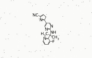 CC(C)(Nc1ncc(C2=NC(C#N)=CC2)cn1)c1ncccc1F